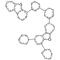 c1ccc(-c2cc(-c3ccccc3)c3oc4ccc(-c5cccc(-c6cccc(-c7cccc8c7sc7ccccc78)c6)c5)cc4c3c2)cc1